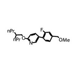 CCCC(CCC)COc1ccc(-c2ccc(COC)cc2F)cn1